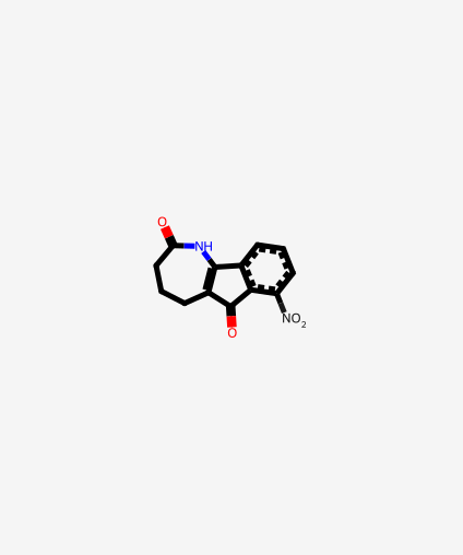 O=C1CCCC2=C(N1)c1cccc([N+](=O)[O-])c1C2=O